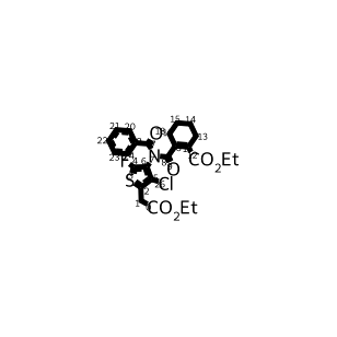 CCOC(=O)Cc1sc(F)c(N(C(=O)C2=C(C(=O)OCC)CCCC2)C(=O)c2ccccc2)c1Cl